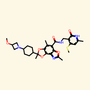 COC1CN(C2CCC(C3(C)Oc4c(C)c(C(=O)NCc5c(SC)cc(C)[nH]c5=O)c5oc(C)nc5c4O3)CC2)C1